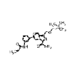 C=CC(=O)Nc1cccc(-c2cc3c(C(N)=O)nn(COCC[Si](C)(C)C)c3cn2)c1